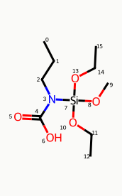 CCCN(C(=O)O)[Si](OC)(OCC)OCC